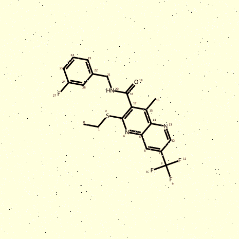 CCSc1nc2cc(C(F)(F)F)cnc2c(C)c1C(=O)NCc1cccc(F)c1